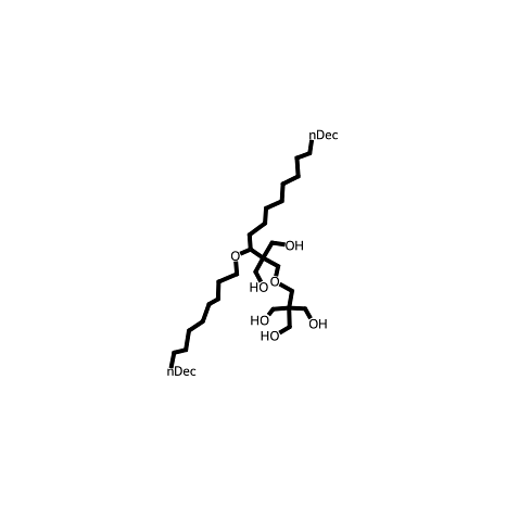 CCCCCCCCCCCCCCCCCCOC(CCCCCCCCCCCCCCCCCC)C(CO)(CO)COCC(CO)(CO)CO